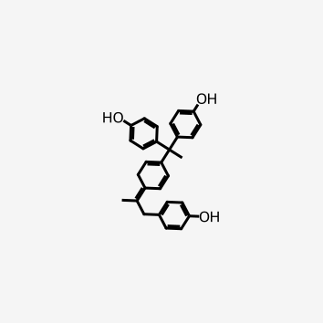 CC(Cc1ccc(O)cc1)=C1C=CC(C(C)(c2ccc(O)cc2)c2ccc(O)cc2)=CC1